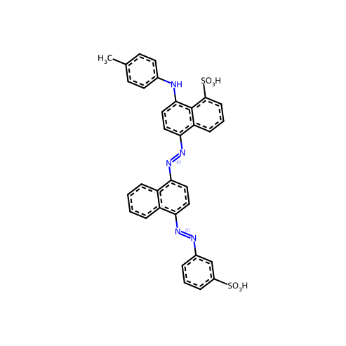 Cc1ccc(Nc2ccc(/N=N/c3ccc(/N=N/c4cccc(S(=O)(=O)O)c4)c4ccccc34)c3cccc(S(=O)(=O)O)c23)cc1